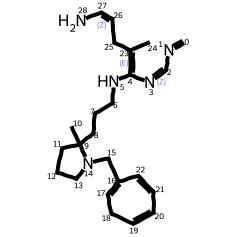 C=N/C=N\C(NCCCC1(C)CCCN1CC1=CCC=CC=C1)=C(/C)C/C=C\N